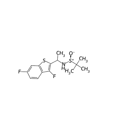 CC(N[S@@+]([O-])C(C)(C)C)c1sc2cc(F)ccc2c1F